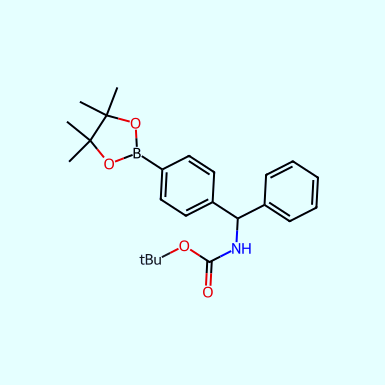 CC(C)(C)OC(=O)NC(c1ccccc1)c1ccc(B2OC(C)(C)C(C)(C)O2)cc1